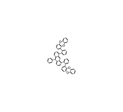 c1ccc(-c2c3cccc(-c4ccccc4-c4cccc5c4Oc4ccccc4O5)c3cc3c(-c4ccccc4-c4cccc5c4Oc4ccccc4O5)cccc23)cc1